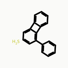 S.c1ccc(-c2cccc3c2-c2ccccc2-3)cc1